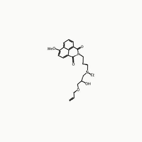 C=CCOCC(O)CN(CC)CCCN1C(=O)c2cccc3c(OC)ccc(c23)C1=O